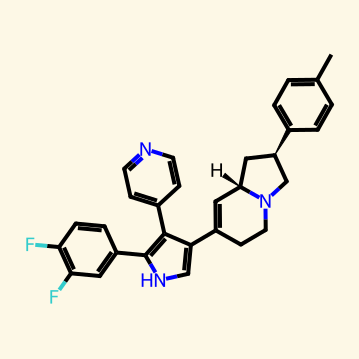 Cc1ccc([C@@H]2C[C@H]3C=C(c4c[nH]c(-c5ccc(F)c(F)c5)c4-c4ccncc4)CCN3C2)cc1